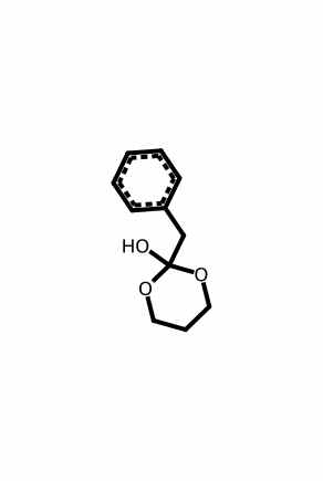 OC1(Cc2ccccc2)OCCCO1